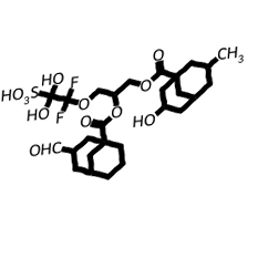 CC1CC2CC(O)CC(C(=O)OCC(COC(F)(F)C(O)(O)S(=O)(=O)O)OC(=O)C34CCCC(CC(C=O)C3)C4)(C1)C2